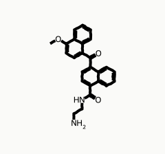 COc1ccc(C(=O)c2ccc(C(=O)NCCN)c3ccccc23)c2ccccc12